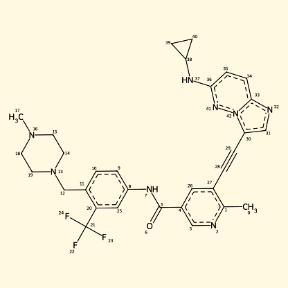 Cc1ncc(C(=O)Nc2ccc(CN3CCN(C)CC3)c(C(F)(F)F)c2)cc1C#Cc1cnc2ccc(NC3CC3)nn12